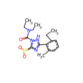 CCc1cccc(C)c1-c1nc(=S(=O)=O)n(C(=O)N(CC)CC)[nH]1